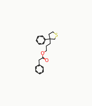 O=C(Cc1ccccc1)OCCCC1(c2ccccc2)CCSC1